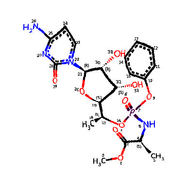 COC(=O)[C@H](C)NP(=O)(Oc1ccccc1)O[C@@H](C)[C@H]1O[C@@H](n2ccc(N)nc2=O)[C@H](O)[C@@H]1O